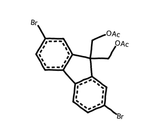 CC(=O)OCC1(COC(C)=O)c2cc(Br)ccc2-c2ccc(Br)cc21